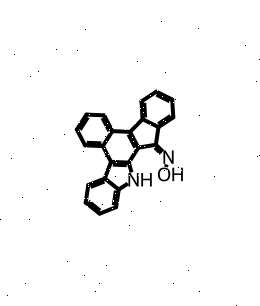 O/N=C1/c2ccccc2-c2c1c1[nH]c3ccccc3c1c1ccccc21